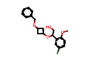 COc1ccc(F)cc1C(CO)OC1CC(OCc2ccccc2)C1